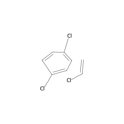 C=CCl.Clc1ccc(Cl)cc1